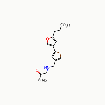 CCCCCCC(=O)CNCc1csc(-c2coc(CCC(=O)O)c2)c1